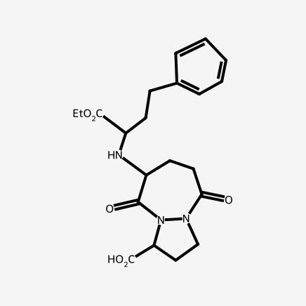 CCOC(=O)C(CCc1ccccc1)NC1CCC(=O)N2CCC(C(=O)O)N2C1=O